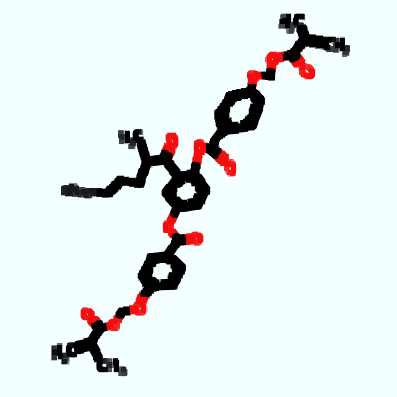 C=C(C)C(=O)OCOc1ccc(C(=O)Oc2ccc(OC(=O)c3ccc(OCOC(=O)C(=C)C)cc3)c(C(=O)C(C)CCCCCCCCCCCCC)c2)cc1